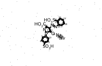 O=C(O)C1=NN(c2ccc(S(=O)(=O)O)cc2)C(=O)C1N=Nc1ccccc1S(=O)(=O)O.[Na].[Na].[Na]